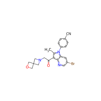 Cc1c(C(=O)CN2CC3(COC3)C2)c2ncc(Br)cc2n1-c1ccc(C#N)cc1